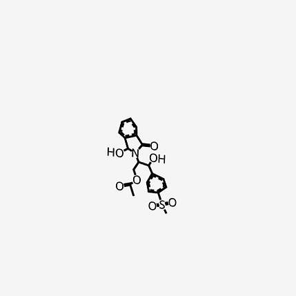 CC(=O)OCC(C(O)c1ccc(S(C)(=O)=O)cc1)N1C(=O)c2ccccc2C1O